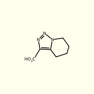 O=C(O)c1nnn2c1CCCC2